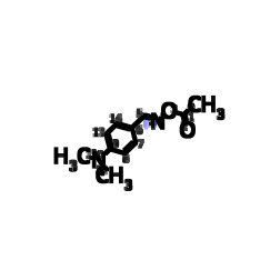 CC(=O)O/N=C/c1ccc(N(C)C)cc1